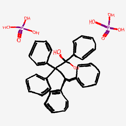 O=P(O)(O)O.O=P(O)(O)O.OC(O)(c1ccccc1)C(c1ccccc1)(c1ccccc1)C(c1ccccc1)c1ccccc1